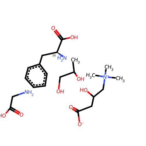 CC(O)CO.C[N+](C)(C)CC(O)CC(=O)[O-].NCC(=O)O.N[C@@H](Cc1ccccc1)C(=O)O